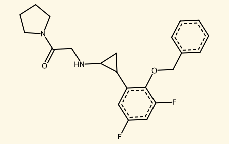 O=C(CNC1CC1c1cc(F)cc(F)c1OCc1ccccc1)N1CCCC1